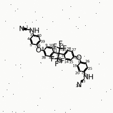 N#CNc1ccc(Oc2ccc(C(c3ccc(Oc4ccc(NC#N)cc4)cc3)(C(F)(F)F)C(F)(F)F)cc2)cc1